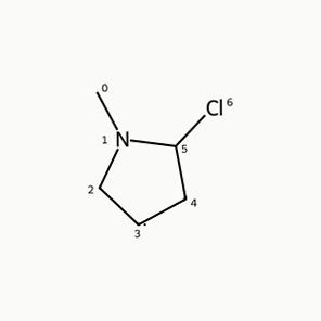 CN1C[CH]CC1Cl